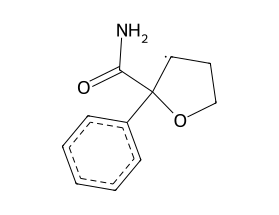 NC(=O)C1(c2ccccc2)[CH]CCO1